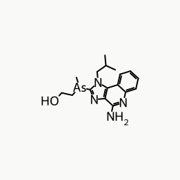 CC(C)Cn1c([As](C)CCO)nc2c(N)nc3ccccc3c21